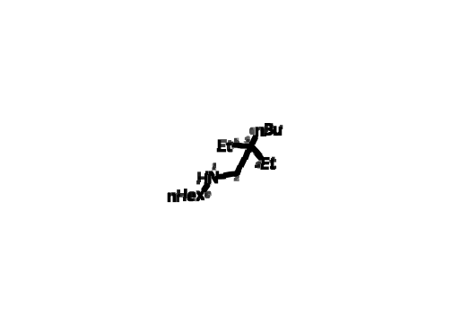 CCCCCCNCC(CC)(CC)CCCC